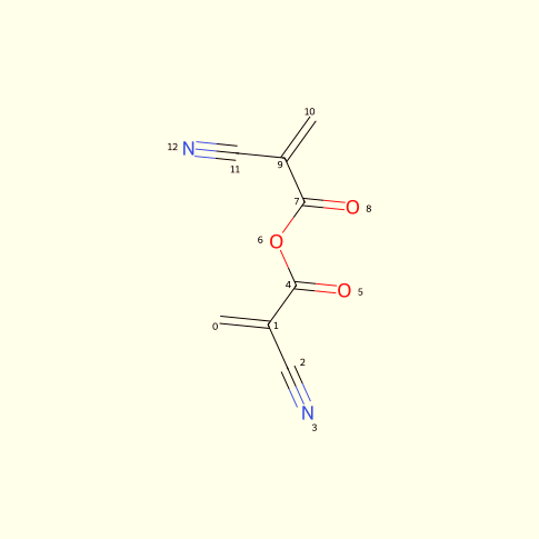 C=C(C#N)C(=O)OC(=O)C(=C)C#N